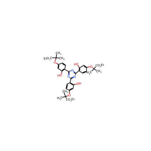 CCOC(=O)C(C)(C)Oc1ccc(-c2nc(-c3ccc(OC(C)(C)C(=O)OCC)cc3O)nc(-c3ccc(OC(C)(C)C(=O)OCC)cc3O)n2)c(O)c1